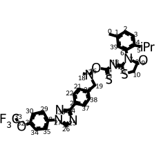 Cc1ccc(C(C)C)c(N2C(=O)CS/C2=N\C(=S)ON(C)Cc2ccc(-c3ncn(-c4ccc(OC(F)(F)F)cc4)n3)cc2)c1